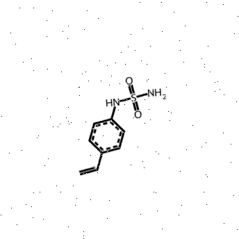 C=Cc1ccc(NS(N)(=O)=O)cc1